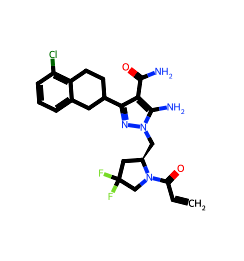 C=CC(=O)N1CC(F)(F)C[C@H]1Cn1nc(C2CCc3c(Cl)cccc3C2)c(C(N)=O)c1N